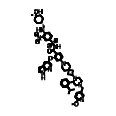 COc1ccc(CN2CCN(C3CC4(CCN(c5ccc(C(=O)NS(=O)(=O)c6ccc(NC[C@H]7CC[C@](C)(O)CC7)c([N+](=O)[O-])c6)c(Oc6cnc7[nH]ccc7c6)c5)CC4)C3)C(c3ccccc3C(C)C)C2)cn1